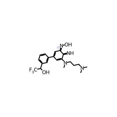 CN(C)CCCN(C)C1=CC(c2cccc(C(O)C(F)(F)F)c2)=C/C(=N/O)C1=N